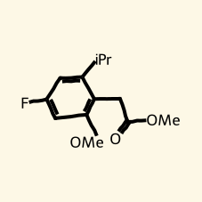 COC(=O)Cc1c(OC)cc(F)cc1C(C)C